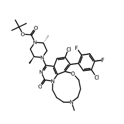 C[C@@H]1CN(c2nc(=O)n3c4c(c(-c5cc(Cl)c(F)cc5F)c(Cl)cc24)OCCCN(C)CCC3)[C@@H](C)CN1C(=O)OC(C)(C)C